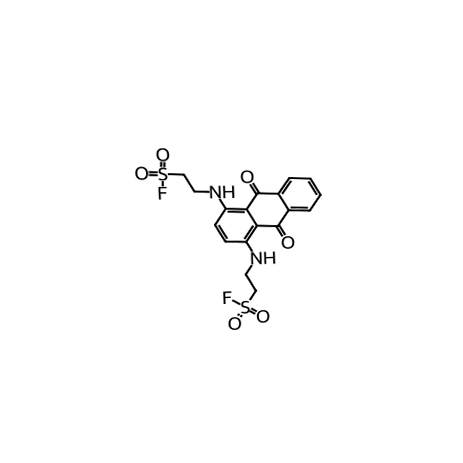 O=C1c2ccccc2C(=O)c2c(NCCS(=O)(=O)F)ccc(NCCS(=O)(=O)F)c21